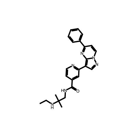 CCNC(C)(C)CNC(=O)c1ccnc(-c2cnn3ccc(-c4ccccc4)nc23)c1